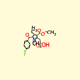 CCOC(=O)c1c(C)c(C(=O)c2ccc(F)cc2)n(C)c1CC(=O)O